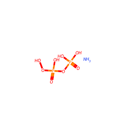 N.O=P(O)(O)OP(=O)(O)OO